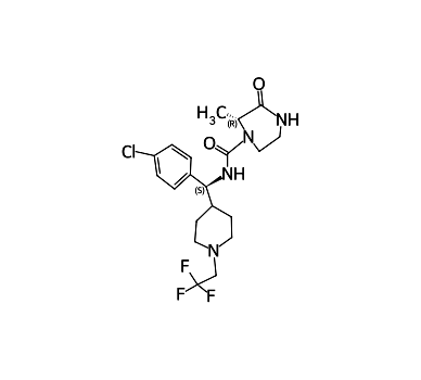 C[C@@H]1C(=O)NCCN1C(=O)N[C@H](c1ccc(Cl)cc1)C1CCN(CC(F)(F)F)CC1